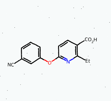 CCc1nc(Oc2cccc(C#N)c2)ccc1C(=O)O